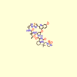 C=CC1C[C@]1(NC(=O)[C@@H]1C[C@@H](Oc2cc(-c3csc(NC(C)C)n3)nc3cc(OC)ccc23)CN1C(=O)[C@@H](NC(=O)NC(CN1CCN(C)S1(=O)=O)C(C)(C)C)C1CCCCC1)C(=O)NC1CC1